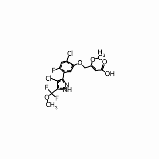 CO/C(=C\C(=O)O)COc1cc(-c2n[nH]c(C(F)(F)OC)c2Cl)c(F)cc1Cl